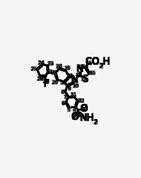 NS(=O)(=O)c1ccc(Cc2cn(-c3nc(C(=O)O)cs3)c3ccc(-c4ccccc4F)cc23)cc1